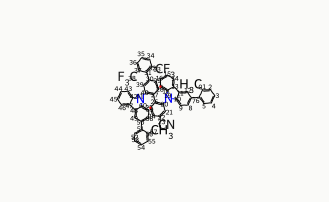 Cc1ccccc1-c1ccc2c(c1)c1ccccc1n2-c1cc(C#N)ccc1-c1ccc(-c2c(C(F)(F)F)cccc2C(F)(F)F)cc1-n1c2ccccc2c2cc(-c3ccccc3C)ccc21